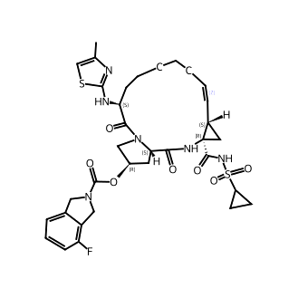 Cc1csc(N[C@H]2CCCCC/C=C\[C@@H]3C[C@@]3(C(=O)NS(=O)(=O)C3CC3)NC(=O)[C@@H]3C[C@@H](OC(=O)N4Cc5cccc(F)c5C4)CN3C2=O)n1